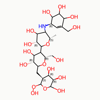 C[C@@H]1OC(C2C(O)[C@@H](O)C(C[C@@H]3C(OO)OC(O)[C@H](O)[C@@H]3O)O[C@H]2CO)[C@H](O)C(O)C1N[C@@H]1C=C(CO)C(O)C(O)C1O